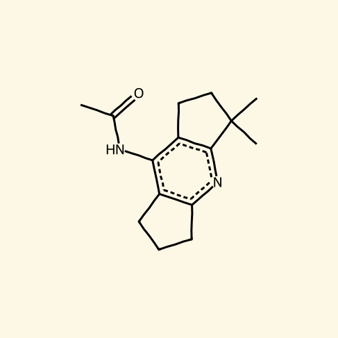 CC(=O)Nc1c2c(nc3c1CCC3(C)C)CCC2